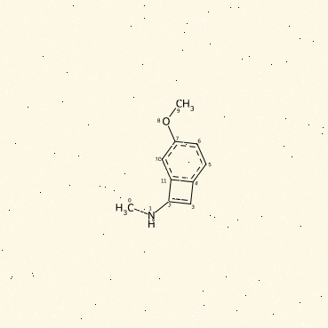 CNC1=Cc2ccc(OC)cc21